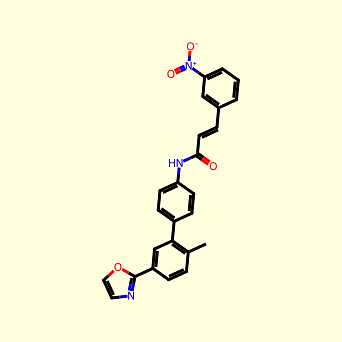 Cc1ccc(-c2ncco2)cc1-c1ccc(NC(=O)/C=C/c2cccc([N+](=O)[O-])c2)cc1